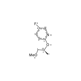 COC[C@H](C)Oc1ccc(F)cn1